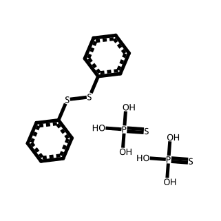 OP(O)(O)=S.OP(O)(O)=S.c1ccc(SSc2ccccc2)cc1